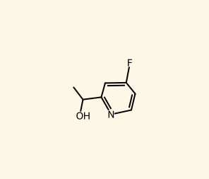 CC(O)c1cc(F)ccn1